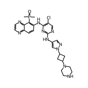 CP(C)(=O)c1c(Nc2nc(Nc3cnn(C4CC(N5CCNCC5)C4)c3)ncc2Cl)ccc2nccnc12